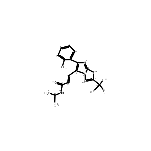 Cc1ccccc1-c1nc2sc(C(F)(F)F)nn2c1/C=C/C(=O)NC(C)C